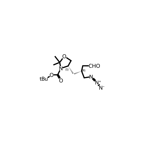 CC(C)(C)OC(=O)N1[C@@H](C[C@H](CC=O)CN=[N+]=[N-])COC1(C)C